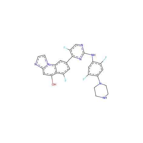 Oc1cc2nccn2c2cc(-c3nc(Nc4cc(F)c(N5CCNCC5)cc4F)ncc3F)cc(F)c12